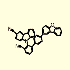 N#Cc1ccc2c(c1)c1ccccc1n2-c1c(C#N)cccc1-c1ccc(-c2ccc3oc4ccccc4c3c2)cc1